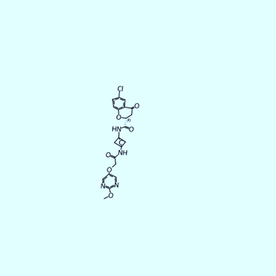 COc1ncc(OCC(=O)NC23CC(NC(=O)[C@H]4CC(=O)c5cc(Cl)ccc5O4)(C2)C3)cn1